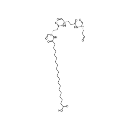 O=CCC[C@@H](C=O)NC(=O)CC[C@@H](C=O)NC(=O)CC[C@@H](C=O)NC(=O)CCCCCCCCCCCCCCCCCCC(=O)O